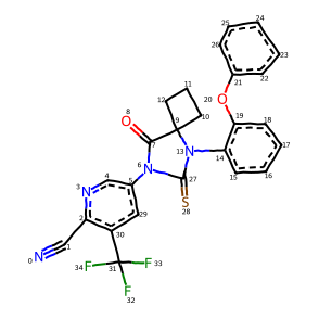 N#Cc1ncc(N2C(=O)C3(CCC3)N(c3ccccc3Oc3ccccc3)C2=S)cc1C(F)(F)F